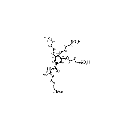 CNCCCCC(NC(=O)c1cc(OCCCS(=O)(=O)O)c(OCCCS(=O)(=O)O)c(OCCCS(=O)(=O)O)c1)C(C)=O